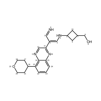 N=C/C(=C\NC1CC(CO)C1)c1cnc2c(C3CCOCC3)cccc2n1